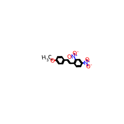 COc1ccc(/C=C/c2ccc([N+](=O)[O-])cc2[N+](=O)[O-])cc1